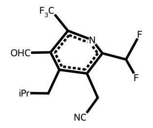 CC(C)Cc1c(C=O)c(C(F)(F)F)nc(C(F)F)c1CC#N